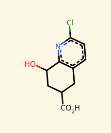 O=C(O)C1Cc2ccc(Cl)nc2C(O)C1